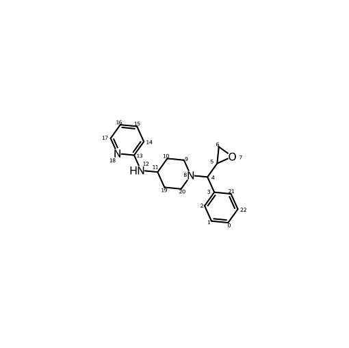 c1ccc(C(C2CO2)N2CCC(Nc3ccccn3)CC2)cc1